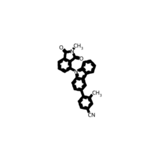 Cc1cc(C#N)ccc1-c1ccc2c(c1)c1ccccc1n2-c1cccc2c1C(=O)N(C)C2=O